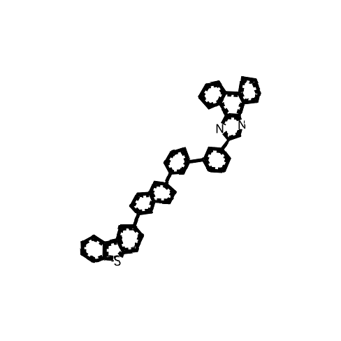 c1cc(-c2cccc(-c3cnc4c5ccccc5c5ccccc5c4n3)c2)cc(-c2ccc3cc(-c4ccc5sc6ccccc6c5c4)ccc3c2)c1